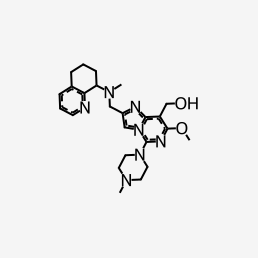 COc1nc(N2CCN(C)CC2)n2cc(CN(C)C3CCCc4cccnc43)nc2c1CO